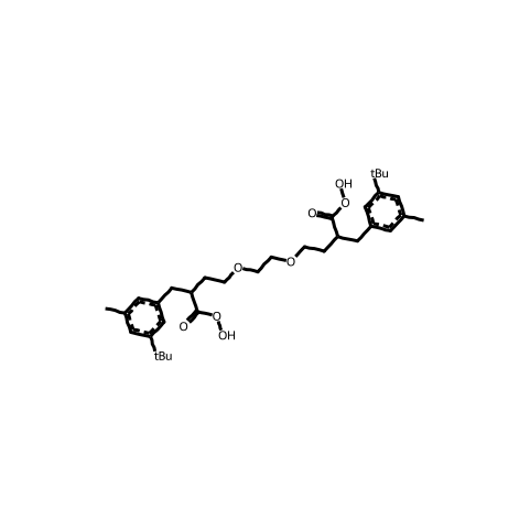 Cc1cc(CC(CCOCCOCCC(Cc2cc(C)cc(C(C)(C)C)c2)C(=O)OO)C(=O)OO)cc(C(C)(C)C)c1